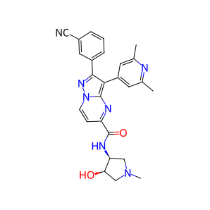 Cc1cc(-c2c(-c3cccc(C#N)c3)nn3ccc(C(=O)N[C@H]4CN(C)C[C@H]4O)nc23)cc(C)n1